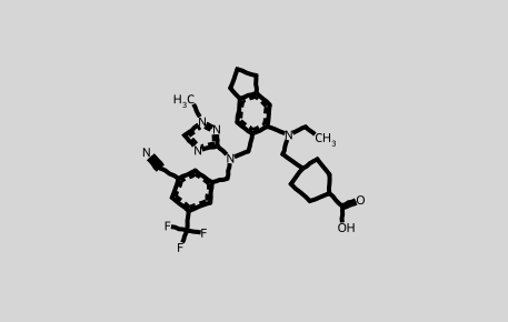 CCN(CC1CCC(C(=O)O)CC1)c1cc2c(cc1CN(Cc1cc(C#N)cc(C(F)(F)F)c1)c1ncn(C)n1)CCC2